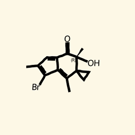 CC1=C(Br)C2=C(C)C3(CC3)[C@@](C)(O)C(=O)C2=C1